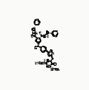 CCCCCCCCCC(=O)N[C@@H](Cc1noc(-c2ccc(C(=O)N3C[C@@H](C(=O)N[C@H]4C[C@@H]4c4ccccc4)[C@H](C(=O)N[C@H]4C[C@@H]4c4ccccc4)C3)cc2)n1)C(=O)NCCCCCC